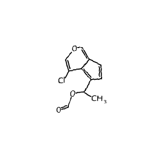 CC(OC=O)c1ccc2cocc(Cl)c1-2